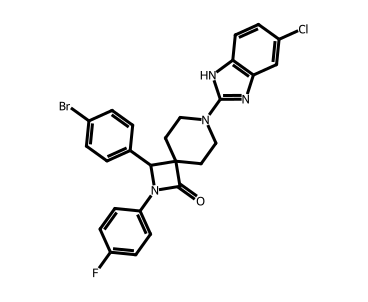 O=C1N(c2ccc(F)cc2)C(c2ccc(Br)cc2)C12CCN(c1nc3cc(Cl)ccc3[nH]1)CC2